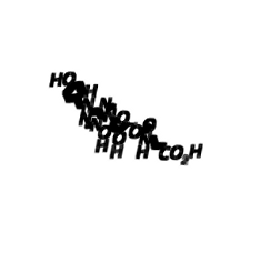 O=C(O)CCCNC(=O)OC[C@H]1O[C@@H](n2cnc3c(NCc4ccc(O)cc4)ncnc32)C(O)C1O